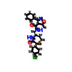 Cc1onc(-c2ccccc2)c1C(=O)NC[C@@H]1CCS[C@H](c2ccc(Br)cc2)C(=O)N1